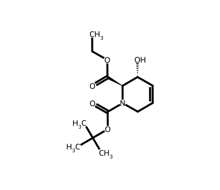 CCOC(=O)[C@H]1[C@H](O)C=CCN1C(=O)OC(C)(C)C